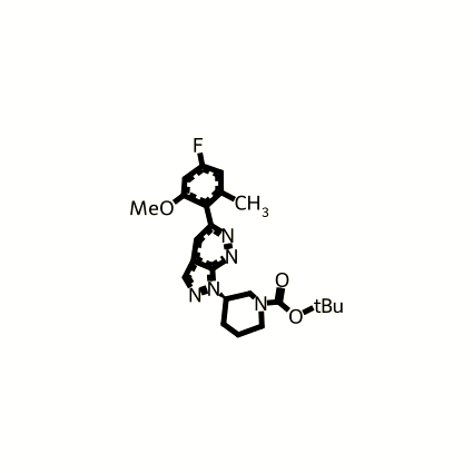 COc1cc(F)cc(C)c1-c1cc2cnn([C@@H]3CCCN(C(=O)OC(C)(C)C)C3)c2nn1